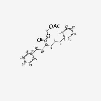 CC(=O)OCOC(=O)C(CCCc1ccccc1)CCc1ccccc1